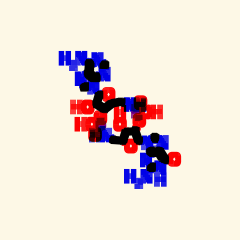 Nc1nc2c(ncn2C2OC3CNP(=O)(O)OC4C(CNP(=O)(O)OC2C3O)OC(n2cnc3c(N)ncnc32)C4O)c(=O)[nH]1